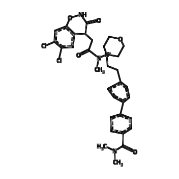 CN(C)C(=O)c1ccc(-c2ccc(CC[N+]3(N(C)C(=O)CC4C(=O)NOc5cc(Cl)c(Cl)cc54)CCOCC3)cc2)cc1